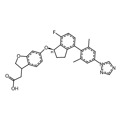 Cc1cc(-n2cncn2)cc(C)c1-c1ccc(F)c2c1CC[C@H]2Oc1ccc2c(c1)OCC2CC(=O)O